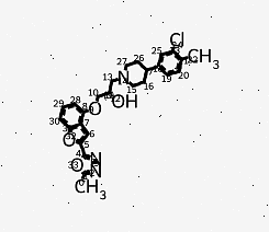 Cc1nnc(-c2cc3c(OC[C@@H](O)CN4CCC(c5ccc(C)c(Cl)c5)CC4)cccc3o2)o1